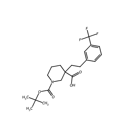 CC(C)(C)OC(=O)N1CCCC(CCc2cccc(C(F)(F)F)c2)(C(=O)O)C1